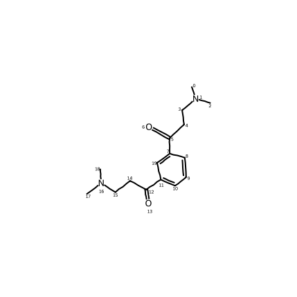 CN(C)CCC(=O)c1cccc(C(=O)CCN(C)C)c1